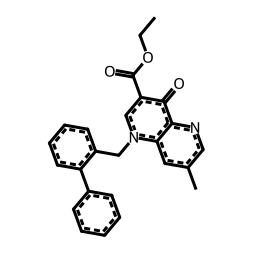 CCOC(=O)c1cn(Cc2ccccc2-c2ccccc2)c2cc(C)cnc2c1=O